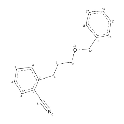 N#Cc1ccccc1CCCOCc1ccccc1